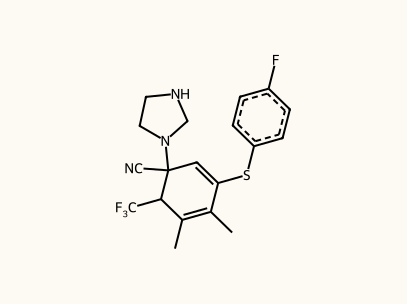 CC1=C(C)C(C(F)(F)F)C(C#N)(N2CCNC2)C=C1Sc1ccc(F)cc1